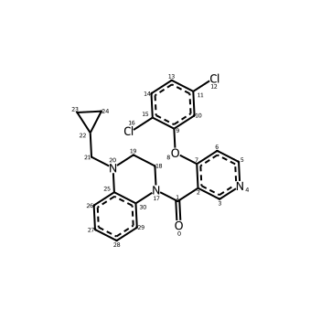 O=C(c1cnccc1Oc1cc(Cl)ccc1Cl)N1CCN(CC2CC2)c2ccccc21